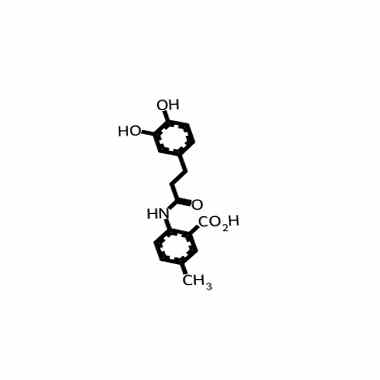 Cc1ccc(NC(=O)CCc2ccc(O)c(O)c2)c(C(=O)O)c1